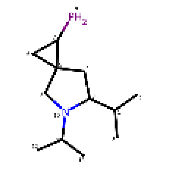 CC(C)C1CC2(CC2P)CN1C(C)C